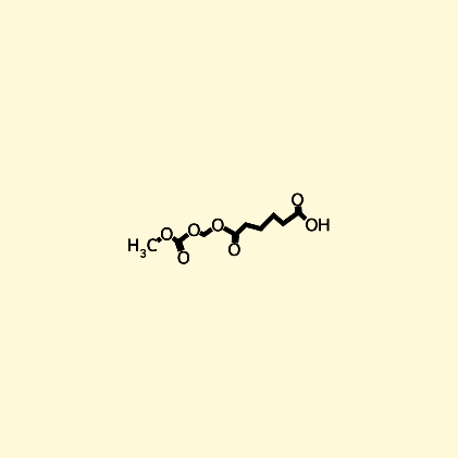 COC(=O)OCOC(=O)CCCCC(=O)O